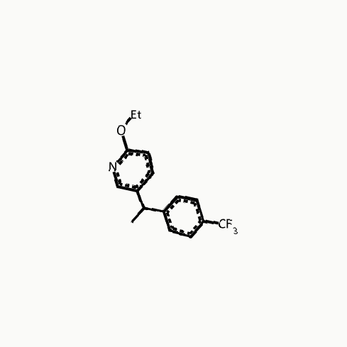 CCOc1ccc(C(C)c2ccc(C(F)(F)F)cc2)cn1